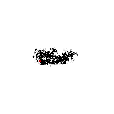 CC[C@H](C)[C@H](NC(=O)[C@@H](NC(=O)[C@H](Cc1ccc(O)cc1)NC(=O)[C@H](CCCNC(=N)N)NC(=O)[C@H](CCCNC(=N)N)NC(=O)[C@@H]1CCCN1C(=O)CNC(=O)[C@H](CO)NC(=O)[C@H](CC(=O)O)NC(=O)[C@H](CC(N)=O)NC(=O)[C@H](C)NC(=O)[C@@H](N)[C@@H](C)O)[C@@H](C)O)C(=O)N[C@@H](C)C(=O)N[C@@H](C)C(=O)N[C@@H](CC(C)C)C(=O)O